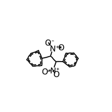 O=[N+]([O-])C(c1ccccc1)C(c1ccccc1)[N+](=O)[O-]